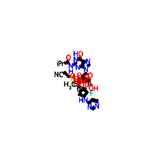 CC(C)C(=O)Nc1nc2c(ncn2[C@@H]2O[C@H](CO)[C@@H](O[Si](C)(C)C(C)(C)C)[C@H]2O[P@@](=S)(OCCC#N)OC[C@H]2C[C@@H](Nc3ccncn3)[C@@H](F)[C@@H]2O[PH](=O)O)c(=O)[nH]1